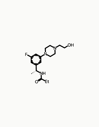 CCC(=O)N[C@H](C)c1cc(F)cc(N2CCN(CCO)CC2)c1